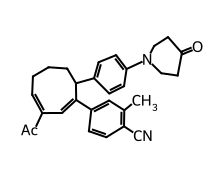 CC(=O)C1=C/CCCC(c2ccc(N3CCC(=O)CC3)cc2)/C(c2ccc(C#N)c(C)c2)=C\1